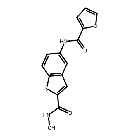 O=C(Nc1ccc2sc(C(=O)NO)cc2c1)c1ccco1